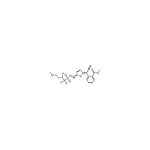 COCCC(F)C(F)(F)S(=O)(=O)ON=C1C=C/C(=C(\C#N)c2ccccc2C(=O)OC)S1